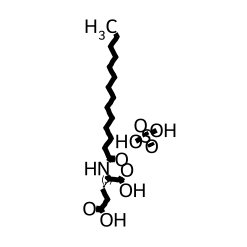 CCCCCCCCCCCCCC(=O)N[C@@H](CCC(=O)O)C(=O)O.O=S(=O)(O)O